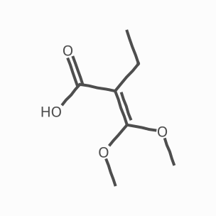 CCC(C(=O)O)=C(OC)OC